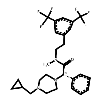 CN(CCc1cc(C(F)(F)F)cc(C(F)(F)F)c1)C(=O)[C@H](c1ccccc1)N1CCN(CC2CC2)CC1